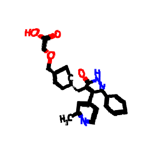 Cc1cc(-c2c(-c3ccccc3)n[nH]c(=O)c2C[C@H]2CC[C@H](COCC(=O)O)CC2)ccn1